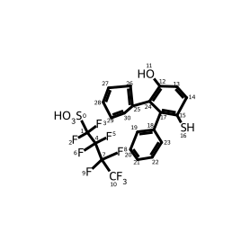 O=S(=O)(O)C(F)(F)C(F)(F)C(F)(F)C(F)(F)F.Oc1ccc(S)c(-c2ccccc2)c1-c1ccccc1